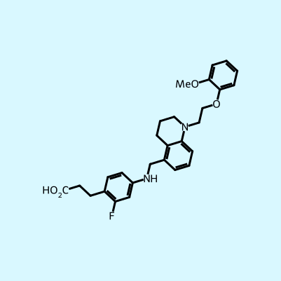 COc1ccccc1OCCN1CCCc2c(CNc3ccc(CCC(=O)O)c(F)c3)cccc21